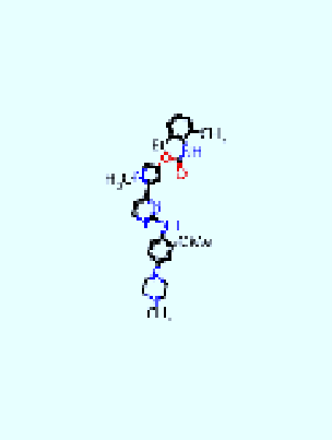 CCc1cccc(C)c1NC(=O)Oc1cc(-c2ccnc(Nc3ccc(N4CCN(C)CC4)cc3OC)n2)n(C)c1